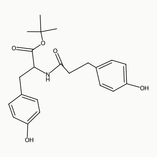 CC(C)(C)OC(=O)C(Cc1ccc(O)cc1)NC(=O)CCc1ccc(O)cc1